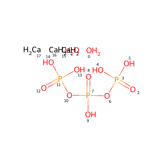 O.O.O=P(O)(O)OP(=O)(O)OP(=O)(O)O.[CaH2].[CaH2].[CaH2]